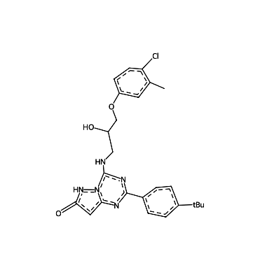 Cc1cc(OCC(O)CNc2nc(-c3ccc(C(C)(C)C)cc3)nc3cc(=O)[nH]n23)ccc1Cl